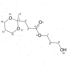 CC1(CCC(=O)OCCCO)OCCCO1